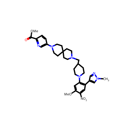 COC(=O)c1ccc(N2CCC3(CCN(CC4CCN(c5cc(OC)c([N+](=O)[O-])cc5-c5cnn(C)c5)CC4)CC3)CC2)cn1